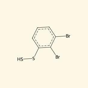 SSc1cccc(Br)c1Br